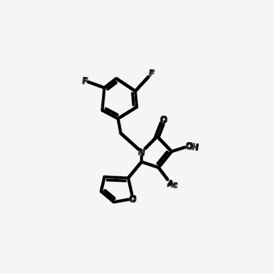 CC(=O)C1=C(O)C(=O)N(Cc2cc(F)cc(F)c2)C1c1ccco1